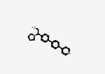 CCC(c1ccc(-c2ccc(-c3ccncc3)cc2)cc1)N1CCCC1